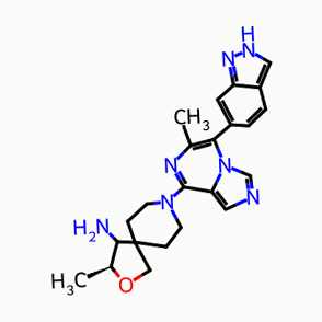 Cc1nc(N2CCC3(CC2)CO[C@@H](C)C3N)c2cncn2c1-c1ccc2c[nH]nc2c1